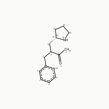 CC(=O)N(Cc1ccccn1)C[C@@H]1CCCN1